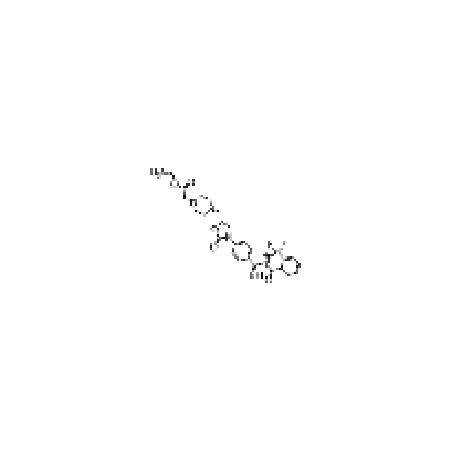 CCOC(=O)CN1CCN(CC2CN(c3ccc(C(=N)NC(=O)c4ccccc4C(F)(F)F)cc3)C(=O)O2)CC1